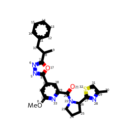 COc1cc(-c2nnc(C(C)Cc3ccccc3)o2)cc(C(=O)N2CCCC2c2nc(C)cs2)n1